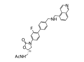 CC(=O)NC[C@H]1CN(c2ccc(-c3ccc(CNCc4cccc5cnccc45)cc3)c(F)c2)C(=O)O1